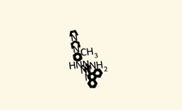 Cc1cc(Nc2nc(N)n(-c3nc4ccccc4c4ccccc34)n2)ccc1N1CCC(N2CCCC2)CC1